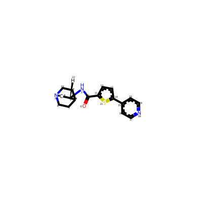 O=C(N[C@H]1CN2CCC1CC2)c1ccc(-c2ccncc2)s1